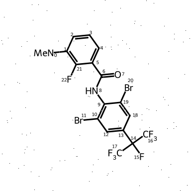 CNc1cccc(C(=O)Nc2c(Br)cc(C(F)(C(F)(F)F)C(F)(F)F)cc2Br)c1F